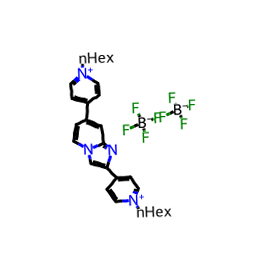 CCCCCC[n+]1ccc(-c2ccn3cc(-c4cc[n+](CCCCCC)cc4)nc3c2)cc1.F[B-](F)(F)F.F[B-](F)(F)F